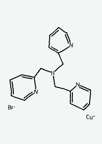 [Br-].[Cu+].c1ccc(CN(Cc2ccccn2)Cc2ccccn2)nc1